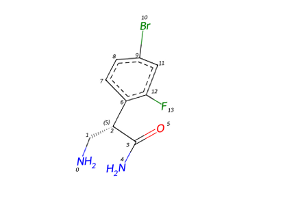 NC[C@@H](C(N)=O)c1ccc(Br)cc1F